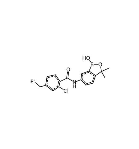 CC(C)Cc1ccc(C(=O)Nc2ccc3c(c2)B(O)OC3(C)C)c(Cl)c1